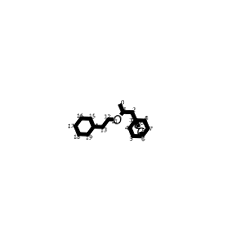 CC(CC12CCC(CC1)CC2)OCCC1CCCCC1